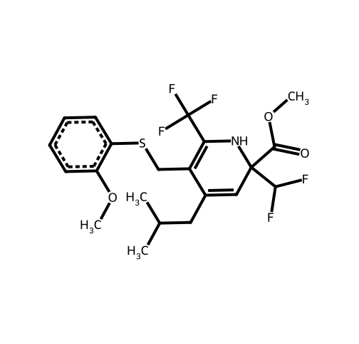 COC(=O)C1(C(F)F)C=C(CC(C)C)C(CSc2ccccc2OC)=C(C(F)(F)F)N1